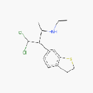 CCNC(C)C(c1ccc2c(c1)SCC2)C(Cl)Cl